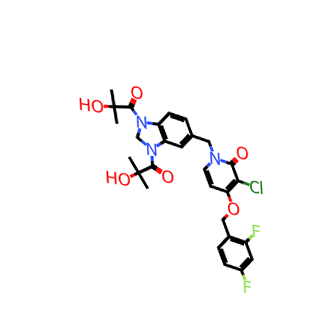 CC(C)(O)C(=O)N1CN(C(=O)C(C)(C)O)c2cc(Cn3ccc(OCc4ccc(F)cc4F)c(Cl)c3=O)ccc21